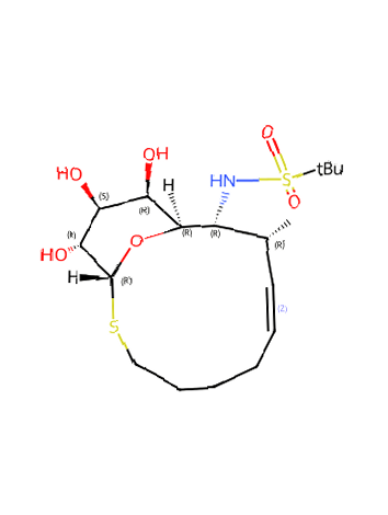 C[C@@H]1/C=C\CCCCS[C@H]2O[C@@H]([C@H](O)[C@H](O)[C@H]2O)[C@@H]1NS(=O)(=O)C(C)(C)C